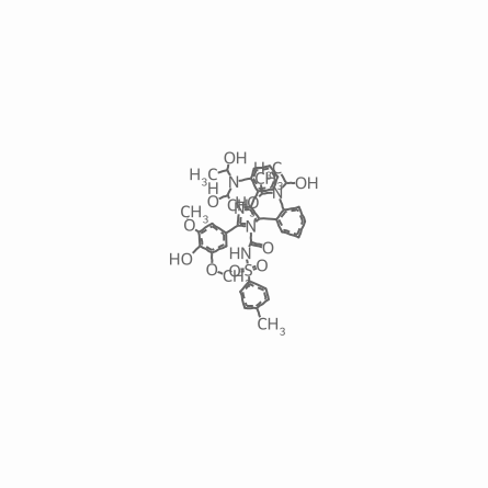 COc1cc(-c2nc(-c3ccccc3N(C(C)O)C(C)O)c(-c3ccccc3N(C(C)O)C(C)O)n2C(=O)NS(=O)(=O)c2ccc(C)cc2)cc(OC)c1O